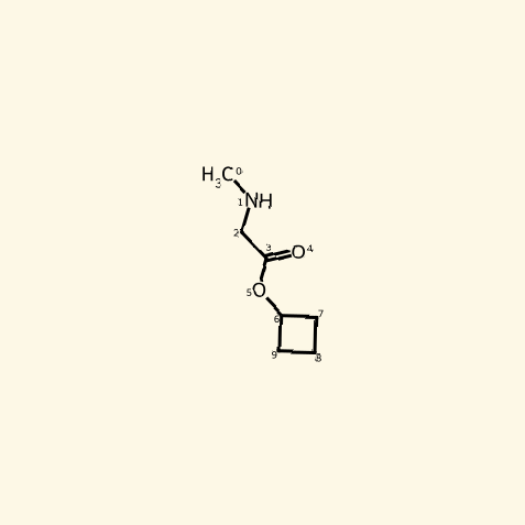 CNCC(=O)OC1CCC1